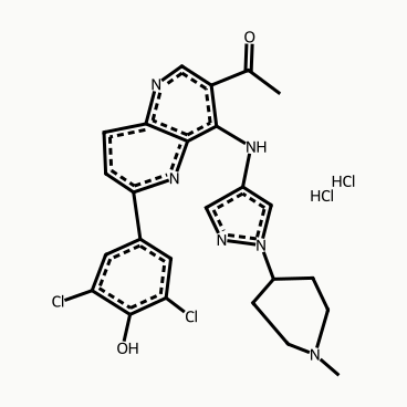 CC(=O)c1cnc2ccc(-c3cc(Cl)c(O)c(Cl)c3)nc2c1Nc1cnn(C2CCN(C)CC2)c1.Cl.Cl